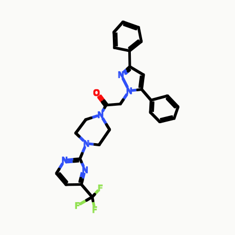 O=C(Cn1nc(-c2ccccc2)cc1-c1ccccc1)N1CCN(c2nccc(C(F)(F)F)n2)CC1